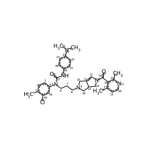 Cc1ccc(N(CCCN2CC3=CN(C(=O)c4c(C)ccnc4C)CC3C2)C(=O)Nc2ccc(N(C)C)cc2)cc1Cl